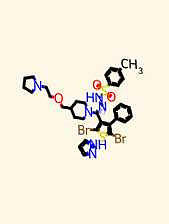 Cc1ccc(S(=O)(=O)N/N=C(/c2c(Br)sc(Br)c2-c2ccccc2)N2CCC(COCCN3CCCC3)CC2)cc1.c1cn[nH]c1